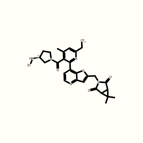 CCN[C@H]1CCN(C(=O)c2c(C)cc(CC(F)(F)F)nc2-c2ccnc3cc(CN4C(=O)C5C(C4=O)C5(C)C)sc23)C1